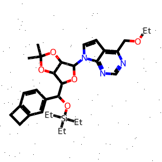 CCOCc1ncnc2c1ccn2C1OC(C(O[Si](CC)(CC)CC)c2ccc3c(c2)CC3)C2OC(C)(C)OC21